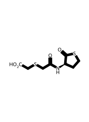 O=C(O)CSCC(=O)N[C@@H]1CCSC1=O